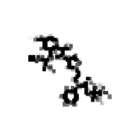 Cc1ccc(C(=O)Nc2cnn(CCN(C(=O)OC(C)(C)C)c3ccccc3)c2)c(OC(C)C)c1